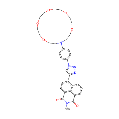 CCCCN1C(=O)c2cccc3c(-c4cn(-c5ccc(N6CCOCCOCCOCCOCCOCC6)cc5)nn4)ccc(c23)C1=O